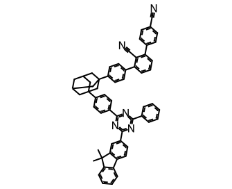 CC1(C)c2ccccc2-c2ccc(-c3nc(-c4ccccc4)nc(-c4ccc(C56CC7CC(C5)CC(c5ccc(-c8cccc(-c9ccc(C#N)cc9)c8C#N)cc5)(C7)C6)cc4)n3)cc21